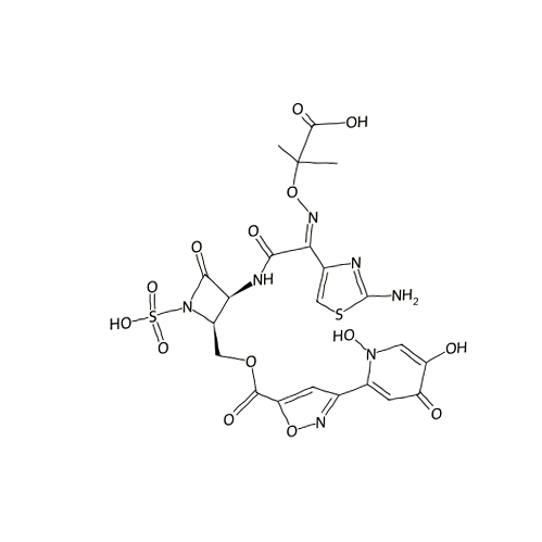 CC(C)(O/N=C(\C(=O)N[C@@H]1C(=O)N(S(=O)(=O)O)[C@@H]1COC(=O)c1cc(-c2cc(=O)c(O)cn2O)no1)c1csc(N)n1)C(=O)O